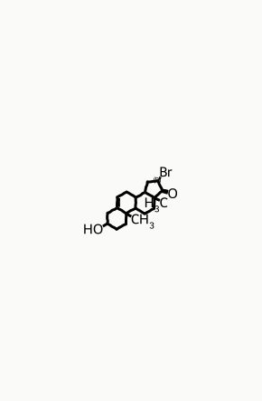 CC12CCC3C(CC=C4CC(O)CCC43C)C1C[C@@H](Br)C2=O